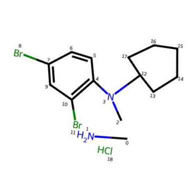 CN.CN(c1ccc(Br)cc1Br)C1CCCCC1.Cl